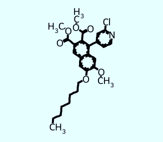 CCCCCCCCOc1cc2cc(C(=O)OC)c(C(=O)OC)c(-c3ccnc(Cl)c3)c2cc1OC